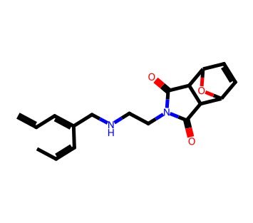 C=C/C=C(\C=C/C)CNCCN1C(=O)C2C3C=CC(O3)C2C1=O